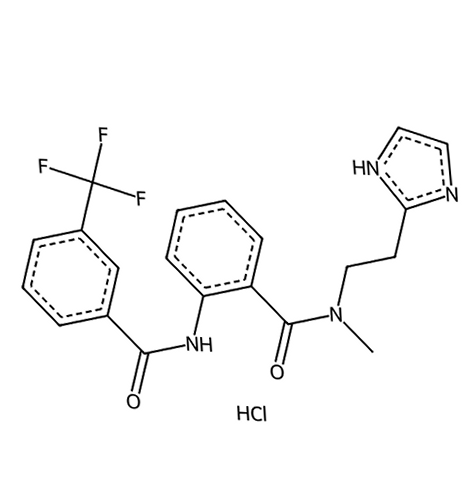 CN(CCc1ncc[nH]1)C(=O)c1ccccc1NC(=O)c1cccc(C(F)(F)F)c1.Cl